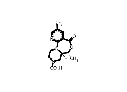 C[C@H]1OC(=O)c2cc(C(F)(F)F)cnc2N2CCN(C(=O)O)C[C@H]12